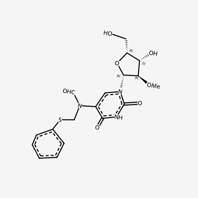 CO[C@@H]1[C@@H](O)[C@@H](CO)O[C@H]1n1cc(N(C=O)CSc2ccccc2)c(=O)[nH]c1=O